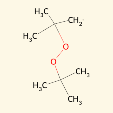 [CH2]C(C)(C)OOC(C)(C)C